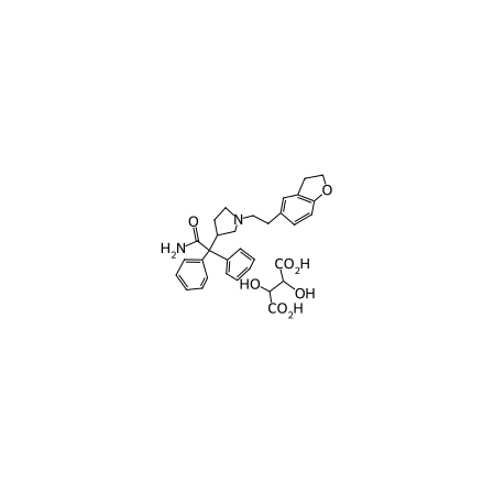 NC(=O)C(c1ccccc1)(c1ccccc1)C1CCN(CCc2ccc3c(c2)CCO3)C1.O=C(O)C(O)C(O)C(=O)O